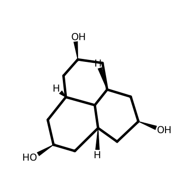 O[C@H]1C[C@@H]2C[C@@H](O)C[C@@H]3C[C@@H](O)C[C@H](C1)C32